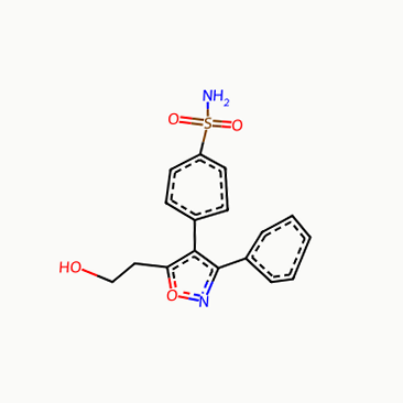 NS(=O)(=O)c1ccc(-c2c(-c3ccccc3)noc2CCO)cc1